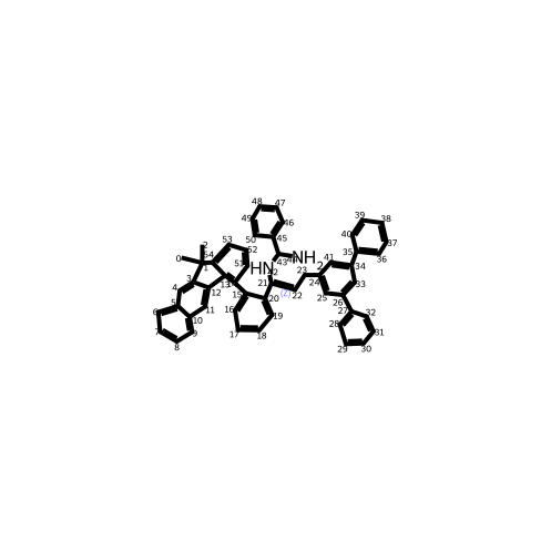 CC1(C)c2cc3ccccc3cc2-c2c(-c3ccccc3/C(=C/Cc3cc(-c4ccccc4)cc(-c4ccccc4)c3)NC(N)c3ccccc3)cccc21